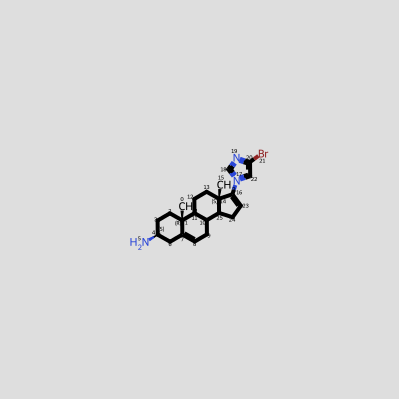 C[C@]12CC[C@H](N)CC1=CCC1C2CC[C@]2(C)C(n3cnc(Br)c3)=CCC12